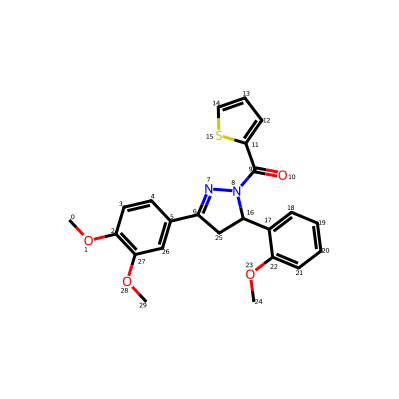 COc1ccc(C2=NN(C(=O)c3cccs3)C(c3ccccc3OC)C2)cc1OC